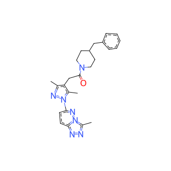 Cc1nn(-c2ccc3nnc(C)n3n2)c(C)c1CC(=O)N1CCC(Cc2ccccc2)CC1